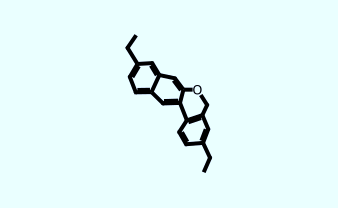 CCc1ccc2c(c1)COc1cc3cc(CC)ccc3cc1-2